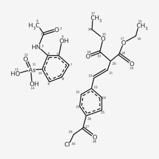 CC(=O)Nc1c(O)cccc1[As](=O)(O)O.CCOC(=O)C(C=Cc1ccc(C(=O)CCl)cc1)C(=O)OCC